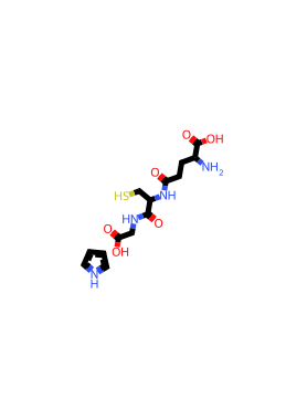 NC(CCC(=O)NC(CS)C(=O)NCC(=O)O)C(=O)O.c1cc[nH]c1